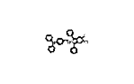 Clc1cc2c(-c3ccccc3)n(N=Cc3ccc(N(c4ccccc4)c4ccccc4)cc3)c(-c3ccccc3)c2cc1Cl